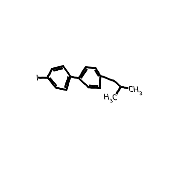 CC(C)Cc1ccc(-c2ccc(I)cc2)cc1